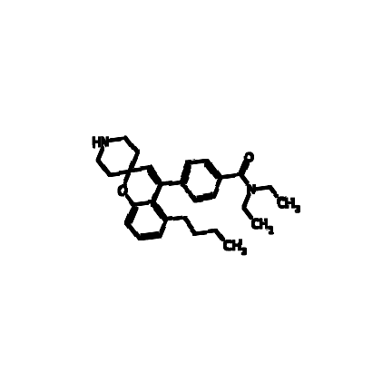 CCCCc1cccc2c1C(c1ccc(C(=O)N(CC)CC)cc1)=CC1(CCNCC1)O2